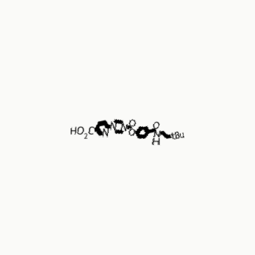 CC(C)(C)CCNC(=O)c1ccc(OC(=O)N2CCN(c3ccc(C(=O)O)cn3)CC2)cc1